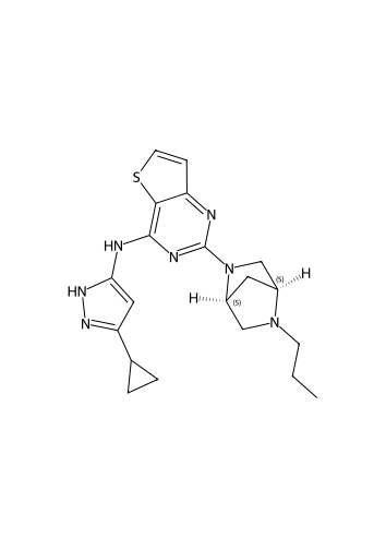 CCCN1C[C@@H]2C[C@H]1CN2c1nc(Nc2cc(C3CC3)n[nH]2)c2sccc2n1